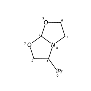 CC(C)C1COC2OCCN21